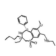 CCCC[C@]1(CC)CS(=O)(=O)c2cc(CNCC)c(OC)cc2[C@@H](c2ccccc2)N1